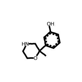 CC1(c2cccc(O)c2)CNCCO1